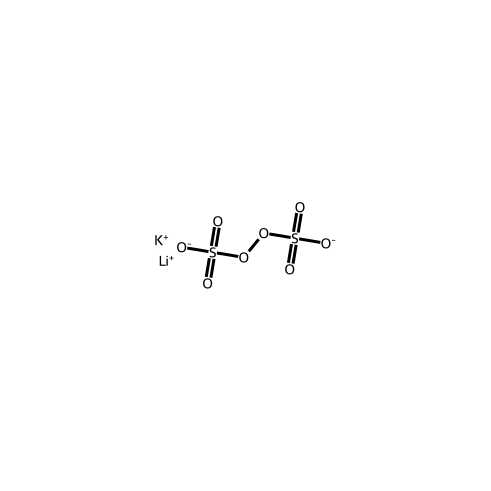 O=S(=O)([O-])OOS(=O)(=O)[O-].[K+].[Li+]